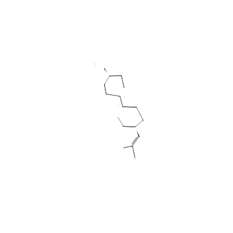 C[C@H]1CC[C@H]([C@H]2CC[C@H](C=C(F)F)CC2)CC1